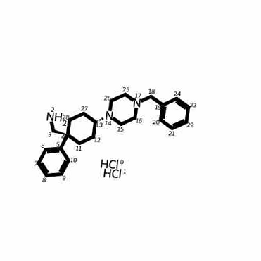 Cl.Cl.NC[C@]1(c2ccccc2)CC[C@@H](N2CCN(Cc3ccccc3)CC2)CC1